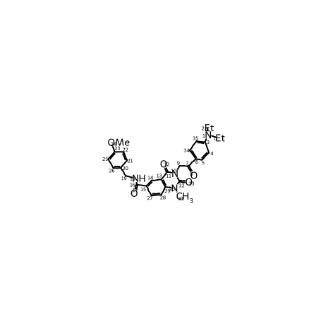 CCN(CC)c1ccc(C(=O)Cn2c(=O)c3cc(C(=O)NCc4ccc(OC)cc4)ccc3n(C)c2=O)cc1